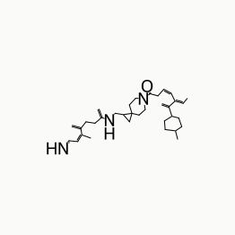 C=C(CCC(=C)/C(C)=C\C=N)NCC1CC12CCN(C(=O)C/C=C\C(=C/C)C(=C)C1CCC(C)CC1)CC2